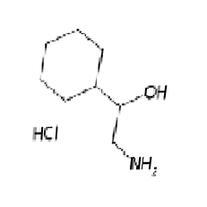 Cl.NCC(O)C1CCCCC1